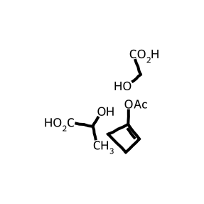 CC(=O)OC1=CCC1.CC(O)C(=O)O.O=C(O)CO